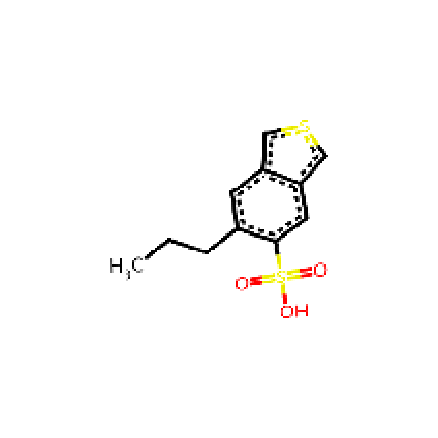 CCCc1cc2cscc2cc1S(=O)(=O)O